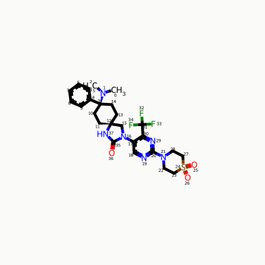 CN(C)[C@]1(c2ccccc2)CC[C@@]2(CC1)CN(c1cnc(N3CCS(=O)(=O)CC3)nc1C(F)(F)F)C(=O)N2